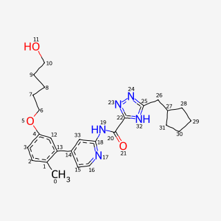 Cc1ccc(OCCCCCO)cc1-c1ccnc(NC(=O)c2nnc(CC3CCCC3)[nH]2)c1